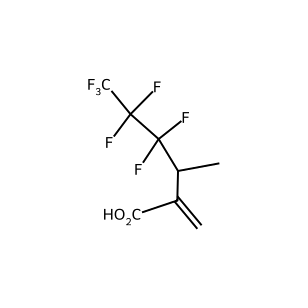 C=C(C(=O)O)C(C)C(F)(F)C(F)(F)C(F)(F)F